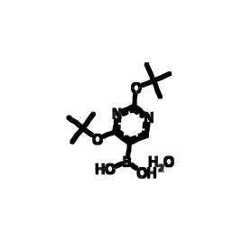 CC(C)(C)Oc1ncc(B(O)O)c(OC(C)(C)C)n1.O